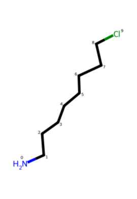 NCCCCCCCCCl